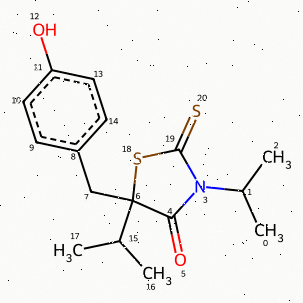 CC(C)N1C(=O)C(Cc2ccc(O)cc2)(C(C)C)SC1=S